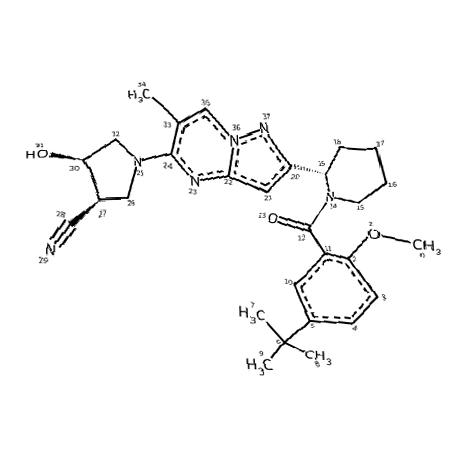 COc1ccc(C(C)(C)C)cc1C(=O)N1CCCC[C@H]1c1cc2nc(N3C[C@@H](C#N)[C@@H](O)C3)c(C)cn2n1